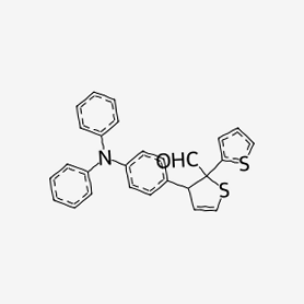 O=CC1(c2cccs2)SC=CC1c1ccc(N(c2ccccc2)c2ccccc2)cc1